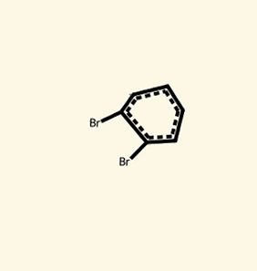 Brc1[c]cccc1Br